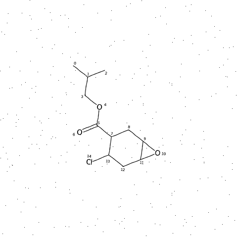 CC(C)COC(=O)C1CC2OC2CC1Cl